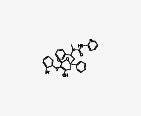 CC(C)c1ccccc1SC1=C(O)CC(CC(c2ccccc2)N(C)C(=O)Nc2ccccn2)(c2ccccc2)OC1=O